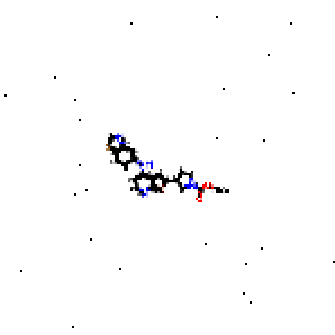 CC(C)(C)OC(=O)N1CCC(c2cc3c(Nc4ccc5scnc5c4)ccnc3s2)C1